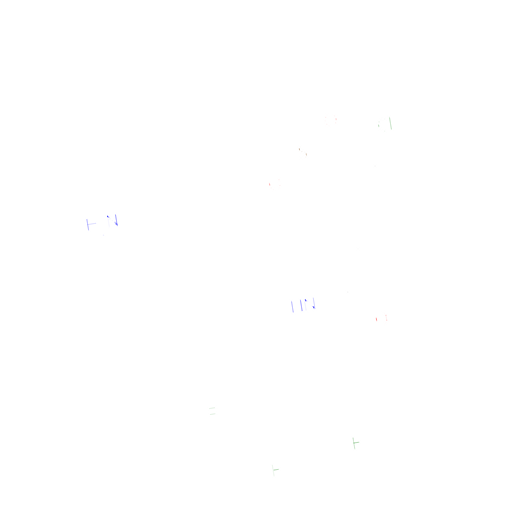 CCC1CC[C@@H](CCCN)C1S(=O)(=O)c1cc(C(=O)Nc2cc(F)c(F)c(F)c2)ccc1Cl